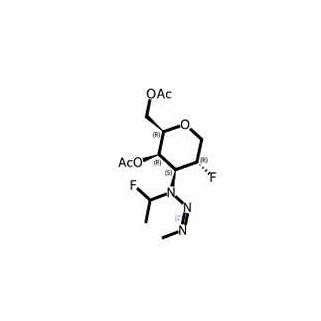 C/N=N\N(C(C)F)[C@H]1[C@@H](OC(C)=O)[C@@H](COC(C)=O)OC[C@@H]1F